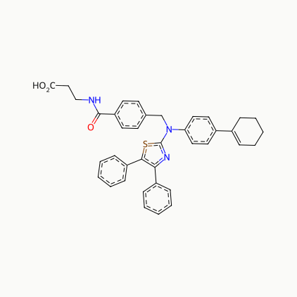 O=C(O)CCNC(=O)c1ccc(CN(c2ccc(C3=CCCCC3)cc2)c2nc(-c3ccccc3)c(-c3ccccc3)s2)cc1